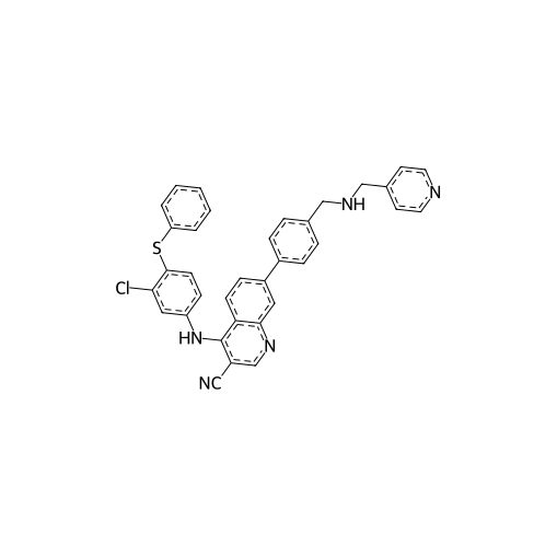 N#Cc1cnc2cc(-c3ccc(CNCc4ccncc4)cc3)ccc2c1Nc1ccc(Sc2ccccc2)c(Cl)c1